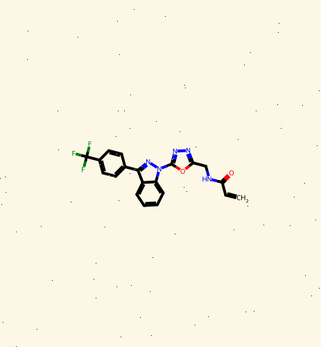 C=CC(=O)NCc1nnc(-n2nc(-c3ccc(C(F)(F)F)cc3)c3ccccc32)o1